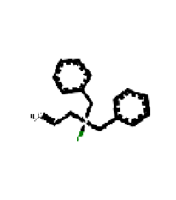 C=CC[Si](F)(Cc1ccccc1)Cc1ccccc1